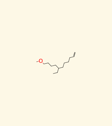 C=CCCCCC(CC)CCCCOC